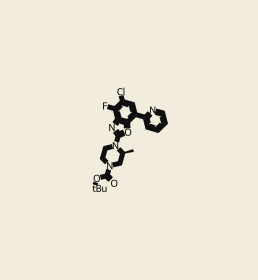 C[C@H]1CN(C(=O)OC(C)(C)C)CCN1c1nc2c(F)c(Cl)cc(-c3ccccn3)c2o1